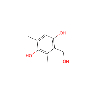 Cc1cc(O)c(CO)c(C)c1O